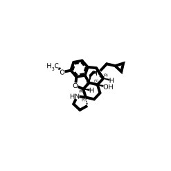 COc1ccc2c3c1O[C@H]1[C@@]4(CCCN4)CC[C@@]4(O)[C@@H](C2)N(CC2CC2)CC[C@]314